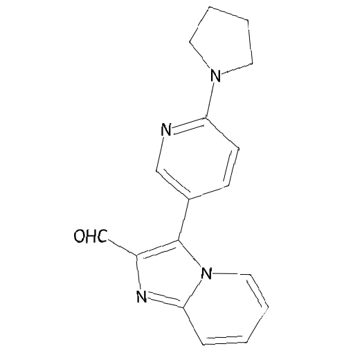 O=Cc1nc2ccccn2c1-c1ccc(N2CCCC2)nc1